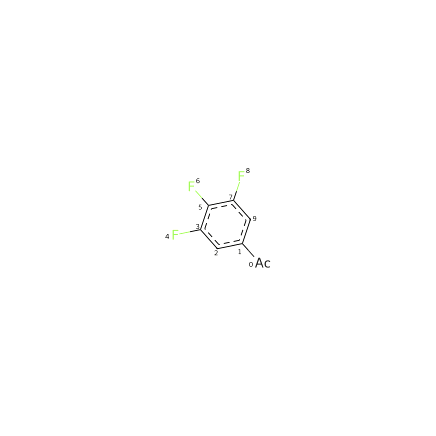 [CH2]C(=O)c1cc(F)c(F)c(F)c1